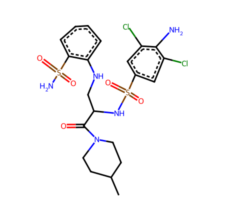 CC1CCN(C(=O)C(CNc2ccccc2S(N)(=O)=O)NS(=O)(=O)c2cc(Cl)c(N)c(Cl)c2)CC1